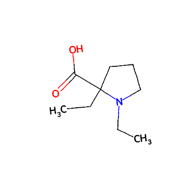 CCN1CCCC1(CC)C(=O)O